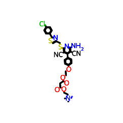 C[N+](C)(C)CCOC(=O)CC(=O)OCCOc1ccc(-c2c(C#N)c(N)nc(SCc3csc(-c4ccc(Cl)cc4)n3)c2C#N)cc1